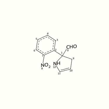 O=CC1(c2ccccc2[N+](=O)[O-])CC=CN1